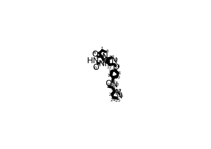 O=C1NC(=O)C2(CCCN2c2ccc(Oc3ccc(C4=NC(c5cccnn5)CO4)cc3)nc2)C(=O)N1